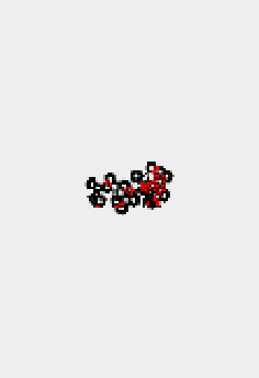 CC1CC=CC2=C1C(C1=CCCC(CC(C)(C)c3ccc(-c4ccccc4)c(N(c4ccc5c(c4)C4(c6ccccc6-5)C5CC6CC7CC4C75C6)c4ccccc4-c4cccc5cccc(-c6ccccc6)c45)c3)=C1)(c1ccccc1)c1cc(-c3ccccc3N(c3ccccc3-c3ccc(-c4ccccc4)cc3)c3ccccc3-c3cccc4cccc(-c5ccccc5)c34)ccc12